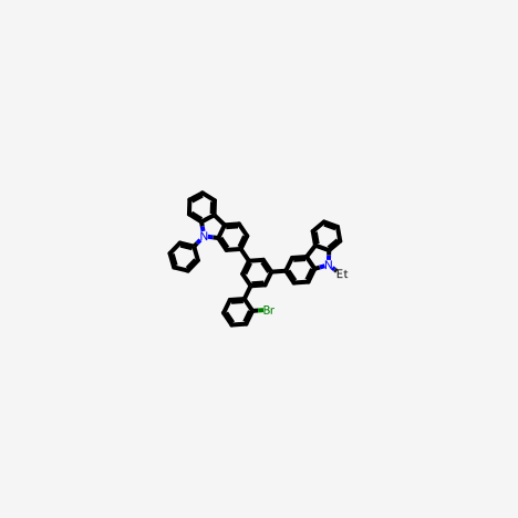 CCn1c2ccccc2c2cc(-c3cc(-c4ccc5c6ccccc6n(-c6ccccc6)c5c4)cc(-c4ccccc4Br)c3)ccc21